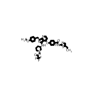 CCc1cnc(NC(=O)c2ccc(Oc3ccnc4c3c(N[C@@H]3CCCN(OC(=O)C(F)(F)F)C3)nn4Cc3ccc(OC)cc3)cc2)s1